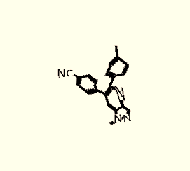 Cc1ccc(-c2nc3cnn(C)c3cc2-c2ccc(C#N)cc2)cc1